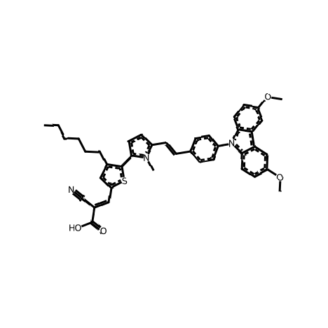 CCCCCCc1cc(/C=C(\C#N)C(=O)O)sc1-c1ccc(/C=C/c2ccc(-n3c4ccc(OC)cc4c4cc(OC)ccc43)cc2)n1C